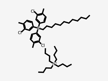 CCCCCCCCCCCC[B-](c1ccc(C)c(Cl)c1)(c1ccc(C)c(Cl)c1)c1ccc(C)c(Cl)c1.CCCC[N+](CCCC)(CCCC)CCCC